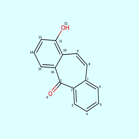 O=c1c2ccccc2ccc2c(O)cccc12